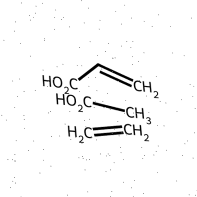 C=C.C=CC(=O)O.CC(=O)O